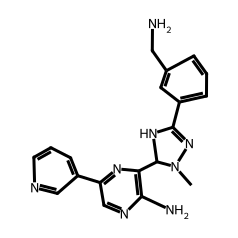 CN1N=C(c2cccc(CN)c2)NC1c1nc(-c2cccnc2)cnc1N